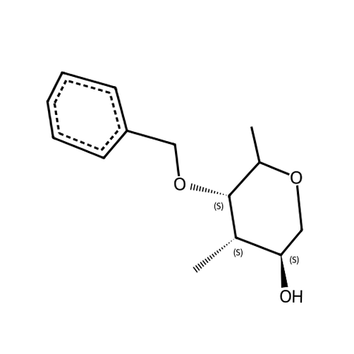 CC1OC[C@@H](O)[C@H](C)[C@@H]1OCc1ccccc1